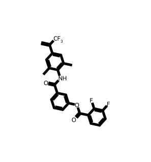 C=C(c1cc(C)c(NC(=O)c2cccc(OC(=O)c3cccc(F)c3F)c2)c(C)c1)C(F)(F)F